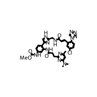 COC(=O)Nc1ccc(-c2c[nH]c(CNC(=O)/C=C/c3cc(Cl)ccc3-n3cnnn3)n2)c(NC(=O)CCc2nc(C)cc(N(C)C)n2)c1